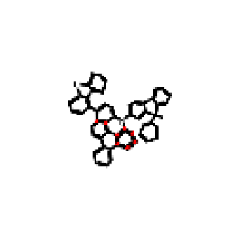 CC1(c2ccccc2)c2ccccc2-c2ccc(N(c3ccc(-c4cccc5oc6ccccc6c45)cc3)c3ccccc3-c3ccccc3-c3ccccc3-c3ccccc3)cc21